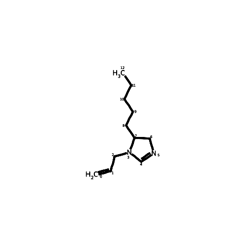 C=CCN1C=NCC1CCCCC